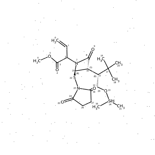 C=CC(C(=O)OC)N1C(=O)[C@H]([C@@H](CO[SiH](C)C)C(C)(C)C)[C@H]1SN1C(=O)CCC1=O